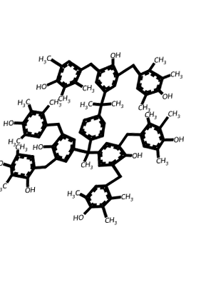 Cc1cc(Cc2cc(C(C)(C)c3ccc(C(C)(c4cc(Cc5cc(C)c(O)c(C)c5C)c(O)c(Cc5cc(C)c(O)c(C)c5C)c4)c4cc(Cc5cc(C)c(O)c(C)c5C)c(O)c(Cc5cc(C)c(O)c(C)c5O)c4)cc3)cc(Cc3cc(C)c(O)c(C)c3C)c2O)c(C)c(C)c1O